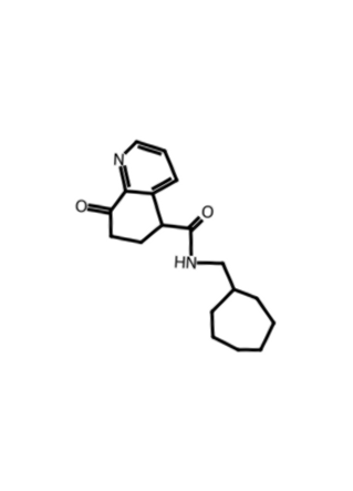 O=C1CCC(C(=O)NCC2CCCCCC2)c2cccnc21